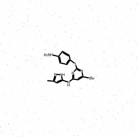 CC(=O)Nc1ccc(Sc2nc(Nc3cc(C)n[nH]3)cc(C(C)(C)C)n2)cc1